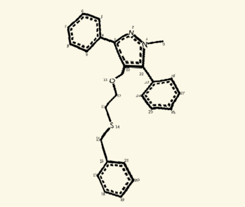 Cn1nc(-c2ccccc2)c(OCCSCc2ccccc2)c1-c1ccccc1